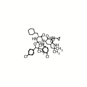 CC1(C)CC(CC(NC(=O)[C@H](CC2CCCCC2)NC(=O)OC(c2ccc(Cl)cc2)C(C)(C)c2cccc(Cl)c2)C(=O)C(=O)NC2CC2)C(=O)N1